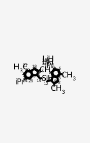 CC1=Cc2c(C)cc(C(C)C)cc2C1C[SiH2]CC1C(C)=Cc2c(C)cc(C(C)C)cc21.[LiH].[LiH]